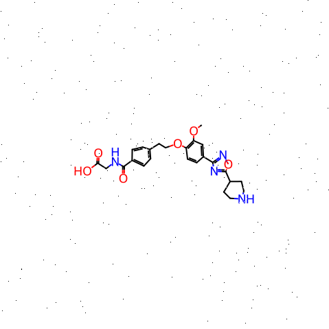 COc1cc(-c2noc(C3CCNCC3)n2)ccc1OCCc1ccc(C(=O)NCC(=O)O)cc1